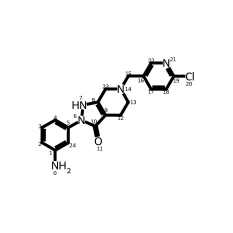 Nc1cccc(-n2[nH]c3c(c2=O)CCN(Cc2ccc(Cl)nc2)C3)c1